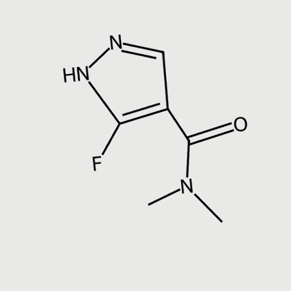 CN(C)C(=O)c1cn[nH]c1F